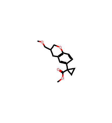 COCC1COc2ccc(C3(C(=O)OC)CC3)cc2C1